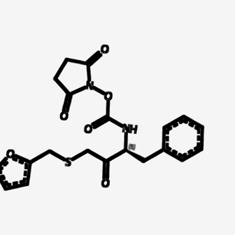 O=C(N[C@@H](Cc1ccccc1)C(=O)CSCc1ccco1)ON1C(=O)CCC1=O